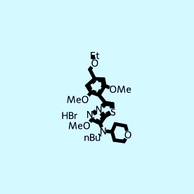 Br.CCCCN(c1c(OC)nn2c(-c3c(OC)cc(COCC)cc3OC)csc12)C1CCOCC1